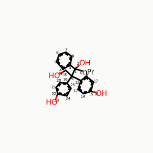 CCCC(O)(c1ccccc1)C(CO)(c1ccc(O)cc1)c1ccc(O)cc1